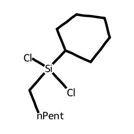 CCCCCC[Si](Cl)(Cl)C1CCCCC1